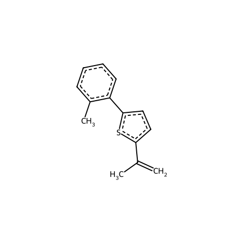 C=C(C)c1ccc(-c2ccccc2C)s1